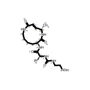 CCCCCCCCCCCCNC(=O)N[C@H](C(=O)N[C@H]1CCCCNC(=O)/C=C/[C@H](C)NC1=O)C(C)C